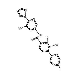 O=C(Nc1cnc(-n2nccn2)c(C(F)(F)F)c1)c1ccc(-c2ccc(F)cc2)c(O)c1F